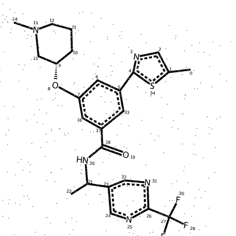 Cc1cnc(-c2cc(O[C@H]3CCCN(C)C3)cc(C(=O)NC(C)c3cnc(C(F)(F)F)nc3)c2)s1